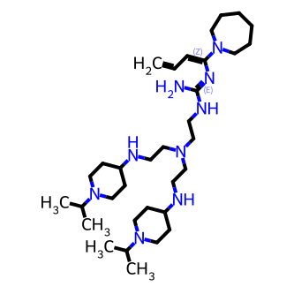 C=C/C=C(\N=C(/N)NCCN(CCNC1CCN(C(C)C)CC1)CCNC1CCN(C(C)C)CC1)N1CCCCCC1